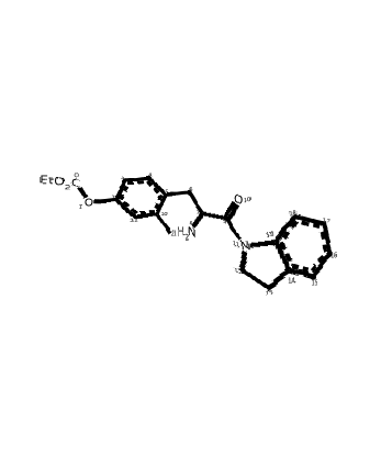 CCOC(=O)Oc1ccc(CC(N)C(=O)N2CCc3ccccc32)c(C)c1